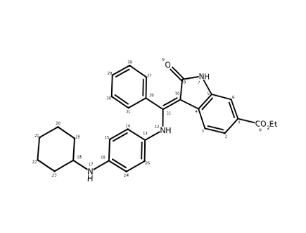 CCOC(=O)c1ccc2c(c1)NC(=O)C2=C(Nc1ccc(NC2CCCCC2)cc1)c1ccccc1